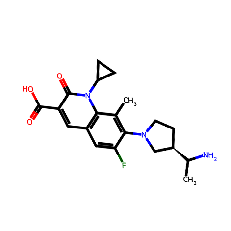 Cc1c(N2CC[C@@H](C(C)N)C2)c(F)cc2cc(C(=O)O)c(=O)n(C3CC3)c12